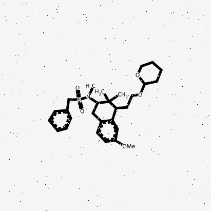 COc1ccc2c(c1)C(CCOC1CCCCO1)C(C)(C)C(N(C)S(=O)(=O)Cc1ccccc1)C2